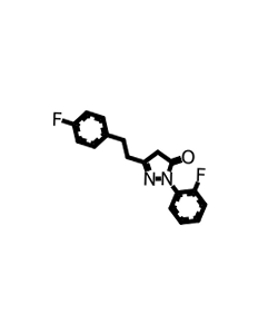 O=C1CC(CCc2ccc(F)cc2)=NN1c1ccccc1F